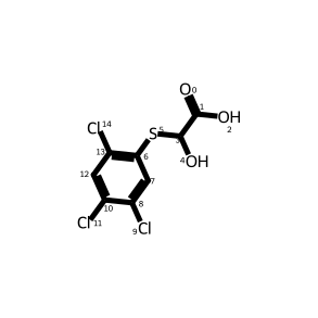 O=C(O)C(O)Sc1cc(Cl)c(Cl)cc1Cl